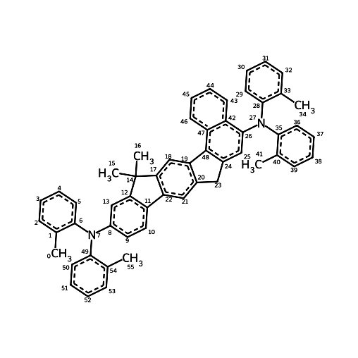 Cc1ccccc1N(c1ccc2c(c1)C(C)(C)c1cc3c(cc1-2)Cc1cc(N(c2ccccc2C)c2ccccc2C)c2ccccc2c1-3)c1ccccc1C